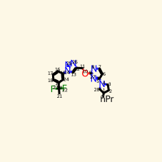 CCCC1CCN(c2ccnc(OCc3cn(-c4cccc(C(C)(F)F)c4)nn3)n2)C1